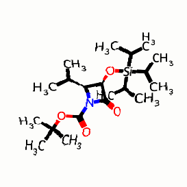 CC(C)[C@H]1[C@@H](O[Si](C(C)C)(C(C)C)C(C)C)C(=O)N1C(=O)OC(C)(C)C